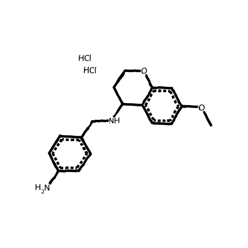 COc1ccc2c(c1)OCCC2NCc1ccc(N)cc1.Cl.Cl